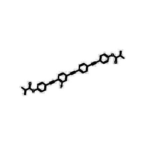 C=C(C)C(=O)Oc1ccc(C#Cc2ccc(C#Cc3ccc(C#Cc4ccc(OC(=O)C(=C)C)cc4)c(F)c3)cc2)cc1